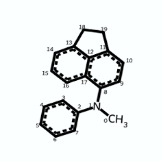 CN(c1ccccc1)c1ccc2c3c(cccc13)CC2